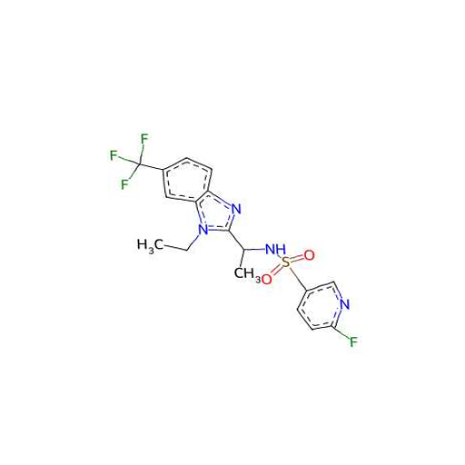 CCn1c(C(C)NS(=O)(=O)c2ccc(F)nc2)nc2ccc(C(F)(F)F)cc21